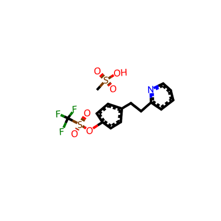 CS(=O)(=O)O.O=S(=O)(Oc1ccc(CCc2ccccn2)cc1)C(F)(F)F